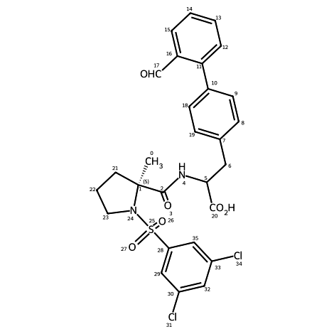 C[C@@]1(C(=O)NC(Cc2ccc(-c3ccccc3C=O)cc2)C(=O)O)CCCN1S(=O)(=O)c1cc(Cl)cc(Cl)c1